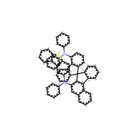 c1ccc(N(c2ccccc2)c2cccc3c2-c2ccccc2C32c3ccccc3-c3c2c(N(c2ccccc2)c2ccc4sc5ccccc5c4c2)cc2ccccc32)cc1